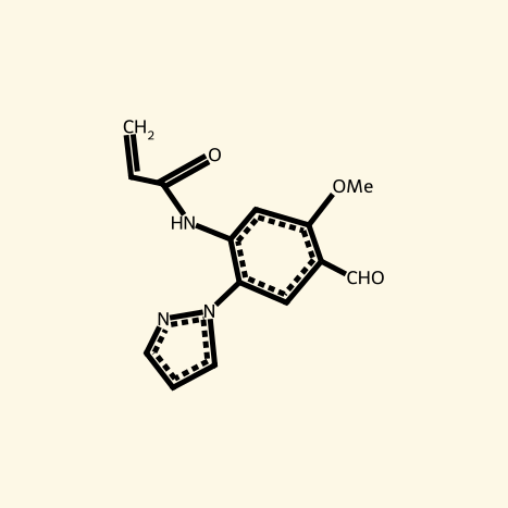 C=CC(=O)Nc1cc(OC)c(C=O)cc1-n1cccn1